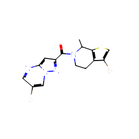 CC1c2scc(Br)c2CCN1C(=O)c1cc2ncc(Br)cn2n1